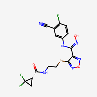 N#Cc1cc(N/C(=N\O)c2nonc2SCCNC(=O)[C@@H]2CC2(F)F)ccc1F